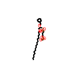 CCCCCCCCCCCCCCCCCCOCC(CS(=O)(=O)CCCOS(C)(=O)=O)OCc1ccccc1